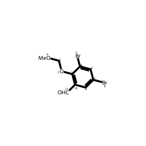 COCOc1c(Br)cc(Br)cc1C=O